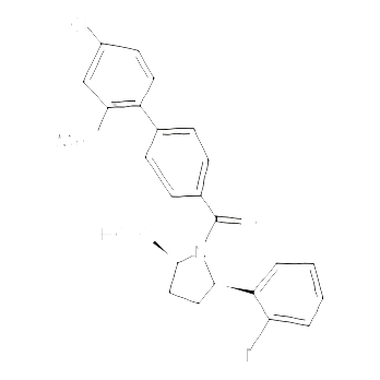 COc1cc(Cl)ccc1-c1ccc(C(=O)N2[C@@H](c3ccccc3Cl)CC[C@H]2C(=O)O)cc1